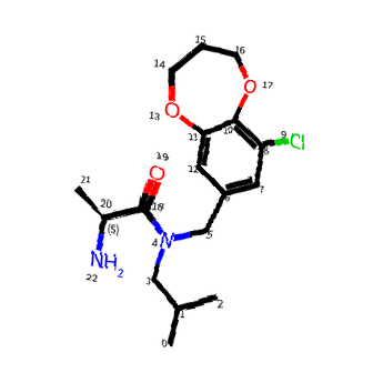 CC(C)CN(Cc1cc(Cl)c2c(c1)OCCCO2)C(=O)[C@H](C)N